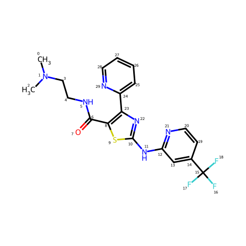 CN(C)CCNC(=O)c1sc(Nc2cc(C(F)(F)F)ccn2)nc1-c1ccccn1